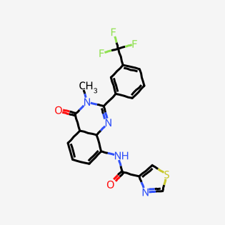 CN1C(=O)C2C=CC=C(NC(=O)c3cscn3)C2N=C1c1cccc(C(F)(F)F)c1